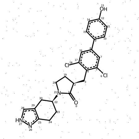 O=C1[C@H](Cc2c(Cl)cc(-c3ccc(O)cc3)cc2Cl)CCN1[C@H]1CCc2n[nH]cc2C1